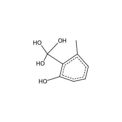 Cc1cccc(O)c1C(O)(O)O